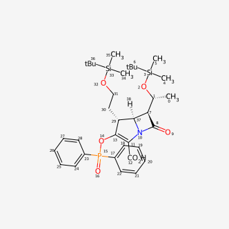 C[C@@H](O[Si](C)(C)C(C)(C)C)[C@H]1C(=O)N2C(C(=O)O)=C(OP(=O)(c3ccccc3)c3ccccc3)[C@H](CCO[Si](C)(C)C(C)(C)C)[C@@H]12